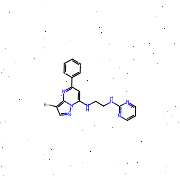 Brc1cnn2c(NCCNc3ncccn3)cc(-c3ccccc3)nc12